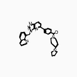 O=C(c1ccc(-c2ccc3nnn(Cc4cccc5cccnc45)c3n2)cc1)N1CCC(N2CCCC2)CC1